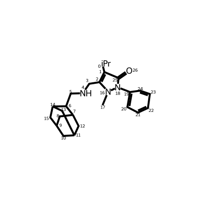 CC(C)c1c(CNCC2C3CC4CC(C3)CC2C4)n(C)n(-c2ccccc2)c1=O